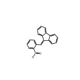 O=[N+]([O-])c1ccccc1C=C1c2ccccc2-c2ccccc21